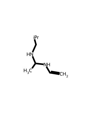 C=CNC(C)NCC(C)C